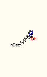 CCCCCCCCCCCCCCCCCCC(N1C=NCC1)C(C)(C)O